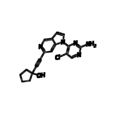 Nc1ncc(Cl)c(-n2ccc3cnc(C#CC4(O)CCCC4)cc32)n1